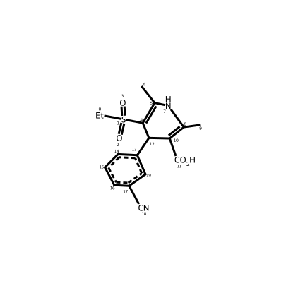 CCS(=O)(=O)C1=C(C)NC(C)=C(C(=O)O)C1c1cccc(C#N)c1